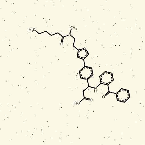 CCCCCC(=O)N(C)CCc1cc(-c2ccc([C@H](CC(=O)O)Nc3ccccc3C(=O)c3ccccc3)cc2)cs1